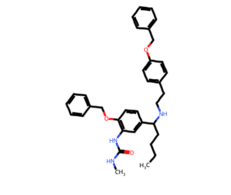 CCCCC(NCCc1ccc(OCc2ccccc2)cc1)c1ccc(OCc2ccccc2)c(NC(=O)NC)c1